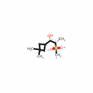 C[C@@H]([C@@H](O)C1CC(C)(C)C1)S(C)(=O)=O